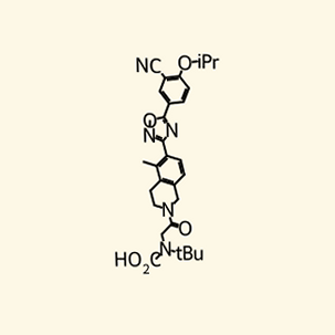 Cc1c(-c2noc(-c3ccc(OC(C)C)c(C#N)c3)n2)ccc2c1CCN(C(=O)CN(C(=O)O)C(C)(C)C)C2